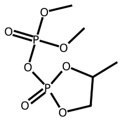 COP(=O)(OC)OP1(=O)OCC(C)O1